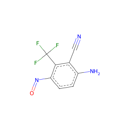 N#Cc1c(N)ccc(N=O)c1C(F)(F)F